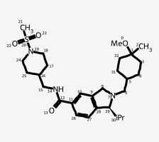 COC1(C)CCC(CN2Cc3cc(C(=O)NCC4CCN(S(C)(=O)=O)CC4)ccc3[C@@H]2C(C)C)CC1